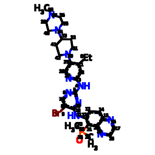 CCc1cc(Nc2ncc(Br)c(Nc3ccc4nccnc4c3P(C)(C)=O)n2)ncc1N1CCC(N2CCN(C)CC2)CC1